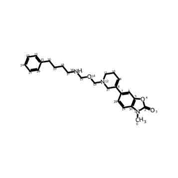 Cn1c(=O)oc2cc(C3=CCCN(COCNCCCCc4ccccc4)C3)ccc21